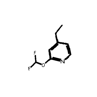 CCc1ccnc(OC(F)F)c1